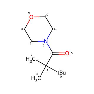 CC(C)(C)C(C)(C)C(=O)N1CCOCC1